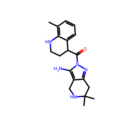 Cc1cccc2c1NCCC2C(=O)n1nc2c(c1N)CNC(C)(C)C2